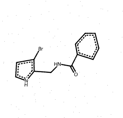 O=C(NCc1[nH]ccc1Br)c1ccccc1